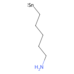 NCCCC[CH2][Sn]